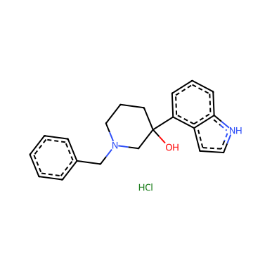 Cl.OC1(c2cccc3[nH]ccc23)CCCN(Cc2ccccc2)C1